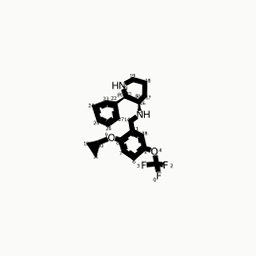 FC(F)(F)Oc1ccc(OC2CC2)c(CN[C@@H]2CCCN[C@@H]2c2ccccc2)c1